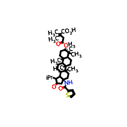 CC(C)C1C(=O)C[C@]2(NC(=O)c3cccs3)CC[C@]3(C)C(CCC4C3(C)CCC3C(C)(C)[C@@H](OC(=O)CC(C)(C)C(=O)O)CC[C@@]34C)C12